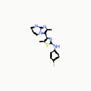 Cc1nc2ncccn2c1-c1nc(Nc2ccc(I)cc2)sc1C